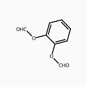 O=COc1ccccc1OC=O